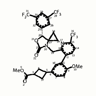 COC(=O)C1CC(c2ccc(OC)c(-c3ccc(C(F)(F)F)nc3CN3C(=O)O[C@H](c4cc(C(F)(F)F)cc(C(F)(F)F)c4)C34CC4)c2)C1